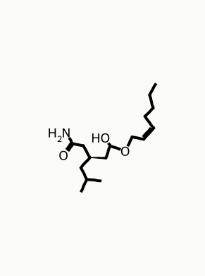 CCCC/C=C\COC(O)C[C@H](CC(N)=O)CC(C)C